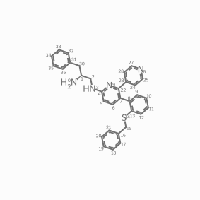 N[C@H](CNc1ccc(-c2ccccc2SCc2ccccc2)c(-c2ccncc2)n1)Cc1ccccc1